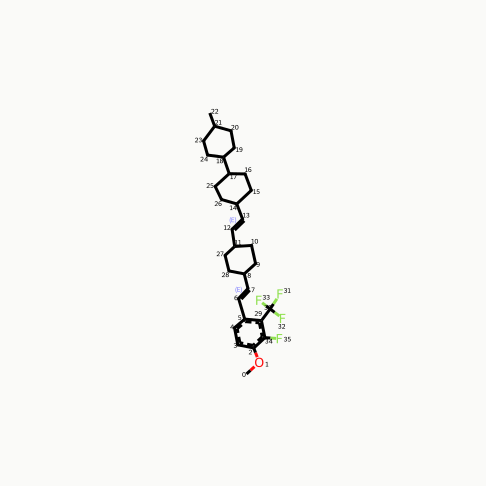 COc1ccc(/C=C/C2CCC(/C=C/C3CCC(C4CCC(C)CC4)CC3)CC2)c(C(F)(F)F)c1F